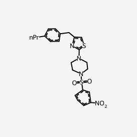 CCCc1ccc(Cc2csc(N3CCN(S(=O)(=O)c4cccc([N+](=O)[O-])c4)CC3)n2)cc1